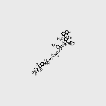 C#Cc1c(F)ccc2cccc(-c3ncc4c(N5CC6CCC(C5)N6)nc(OC[C@@]56CC[C@@H](COC(=O)NCCOCCC(=O)Nc7ccc8c(c7)C(=O)N(C7CCC(=O)NC7=O)C8=O)N5CC(=C)C6)nc4c3C)c12